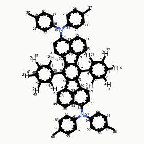 [2H]c1c([2H])c([2H])c(-c2c3c4cccc5c(N(c6ccc(C)cc6)c6ccc(C)cc6)ccc(c3c(-c3c([2H])c([2H])c([2H])c([2H])c3[2H])c3c6cccc7c(N(c8ccc(C)cc8)c8ccc(C)cc8)ccc(c23)c76)c54)c([2H])c1[2H]